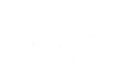 CCOCc1nc2c(C)nc3ccccc3c2n1CCNC(=O)C(C)C